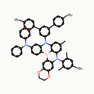 Cc1cc2c3c(c1)N(c1c(C)cc(C(C)(C)C)cc1C)c1cc4c(cc1B3c1ccc(N(c3ccccc3)c3ccccc3)cc1N2c1cc(-c2ccc(C(C)(C)C)cc2)cc(-c2ccc(C(C)(C)C)cc2)c1)OCCO4